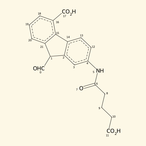 O=CC1c2cc(NC(=O)CCCC(=O)O)ccc2-c2c(C(=O)O)cccc21